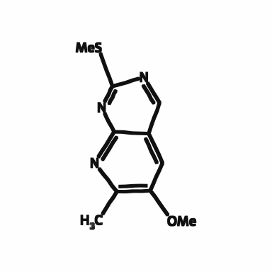 COc1cc2cnc(SC)nc2nc1C